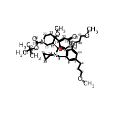 COCCCc1cc(CN(C(=O)[C@H]2CN(C(=O)OC(C)(C)C)CC[C@]2(OC)c2cc[nH]c(=O)c2)C2CC2)cc(OCCOC)c1